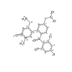 CC[S+]([O-])Cc1ccc(C(=O)c2c(Cl)cc(F)cc2Cl)c(-c2cn(C)c(=O)cc2CN)c1